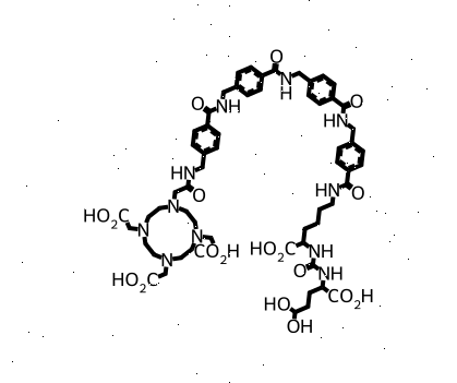 O=C(O)CN1CCN(CC(=O)O)CCN(CC(=O)NCc2ccc(C(=O)NCc3ccc(C(=O)NCc4ccc(C(=O)NCc5ccc(C(=O)NCCCCC(NC(=O)NC(CCC(O)O)C(=O)O)C(=O)O)cc5)cc4)cc3)cc2)CCN(CC(=O)O)CC1